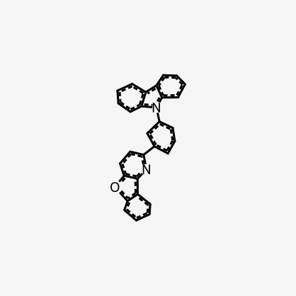 c1cc(-c2ccc3oc4ccccc4c3n2)cc(-n2c3ccccc3c3ccccc32)c1